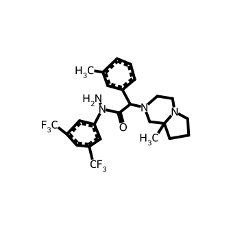 Cc1cccc(C(C(=O)N(N)c2cc(C(F)(F)F)cc(C(F)(F)F)c2)N2CCN3CCCC3(C)C2)c1